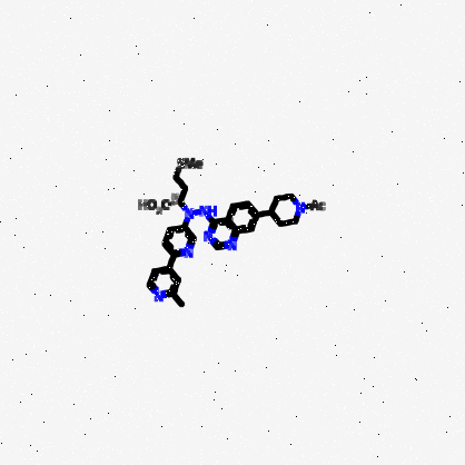 CSCC[C@@H](C(=O)O)N(Nc1ncnc2cc(C3CCN(C(C)=O)CC3)ccc12)c1ccc(-c2ccnc(C)c2)nc1